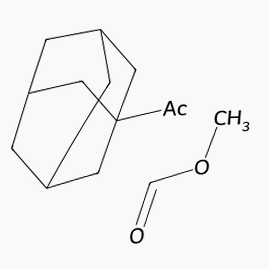 CC(=O)C12CC3CC(CC(C3)C1)C2.COC=O